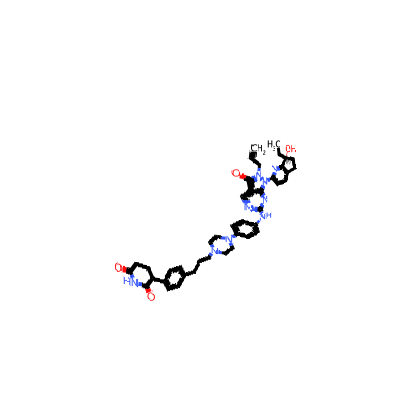 C=CCn1c(=O)c2cnc(Nc3ccc(N4CCN(CCCc5ccc(C6CCC(=O)NC6=O)cc5)CC4)cc3)nc2n1-c1ccc2c(n1)[C@@](O)(CC)CC2